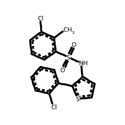 Cc1c(Cl)cccc1S(=O)(=O)Nc1ccsc1-c1ccccc1Cl